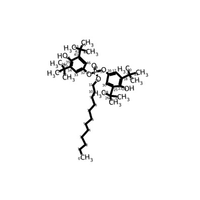 CCCCCCCCCCCCOP(=O)(Oc1cc(C(C)(C)C)c(O)c(C(C)(C)C)c1)Oc1cc(C(C)(C)C)c(O)c(C(C)(C)C)c1